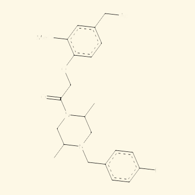 COc1cc(CC(C)=O)ccc1OCC(=O)N1CC(C)N(Cc2ccc(F)cc2)CC1C